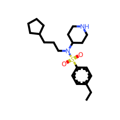 CCc1ccc(S(=O)(=O)N(CCCC2CCCC2)C2CCNCC2)cc1